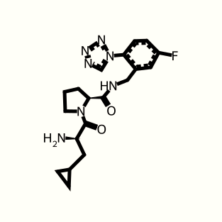 N[C@H](CC1CC1)C(=O)N1CCC[C@H]1C(=O)NCc1cc(F)ccc1-n1cnnn1